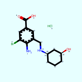 Cl.Nc1c(Br)cc(C(=O)O)cc1CN[C@@H]1CCC[C@H](O)C1